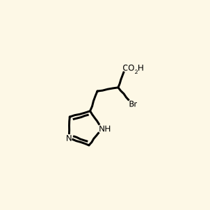 O=C(O)C(Br)Cc1cnc[nH]1